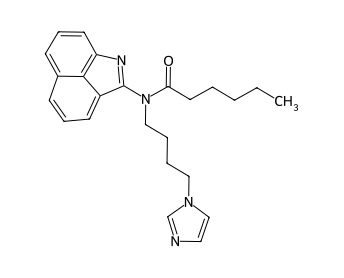 CCCCCC(=O)N(CCCCn1ccnc1)C1=Nc2cccc3cccc1c23